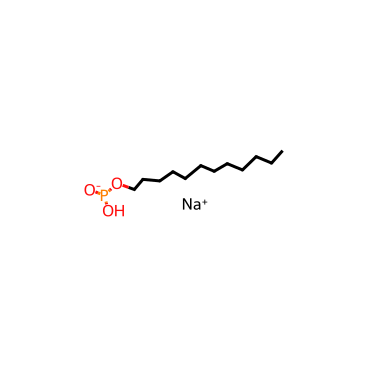 CCCCCCCCCCCCOP([O-])O.[Na+]